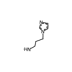 [NH]CCCn1ccnc1